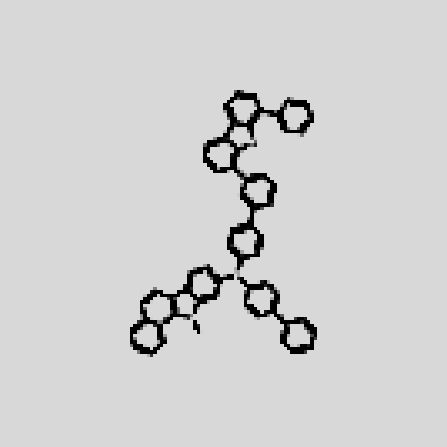 Cn1c2cc(N(c3ccc(-c4ccccc4)cc3)c3ccc(-c4cccc(-c5cccc6c5oc5c(-c7ccccc7)cccc56)c4)cc3)ccc2c2ccc3ccccc3c21